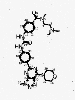 CN(C)CCN(C)C(=O)c1ccc(NC(=O)Nc2ccc(-c3nc(N4CCOCC4)c4nnn(C)c4n3)cc2)cc1